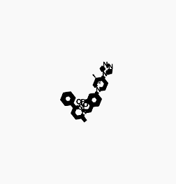 CC1CCC(c2ccccc2)S(=O)(=O)N1Cc1ccc(N2CCC(n3cnnc3)[C@@H](C)C2)cc1F